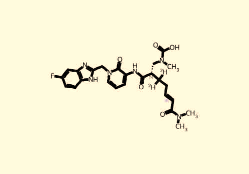 [2H]C([2H])(C/C=C/C(=O)N(C)C)[C@@H](CN(C)C(=O)O)C(=O)Nc1cccn(Cc2nc3cc(F)ccc3[nH]2)c1=O